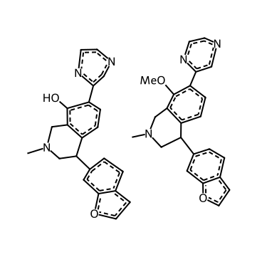 CN1Cc2c(ccc(-c3cnccn3)c2O)C(c2ccc3ccoc3c2)C1.COc1c(-c2cnccn2)ccc2c1CN(C)CC2c1ccc2ccoc2c1